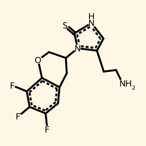 NCCc1c[nH]c(=S)n1C1COc2c(cc(F)c(F)c2F)C1